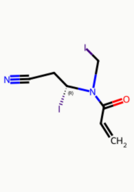 C=CC(=O)N(CI)[C@H](I)CC#N